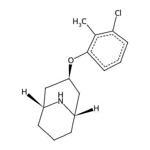 Cc1c(Cl)cccc1O[C@@H]1C[C@H]2CCC[C@@H](C1)N2